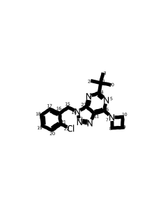 CC(C)(C)c1nc(N2CCC2)c2nnn(Cc3ccccc3Cl)c2n1